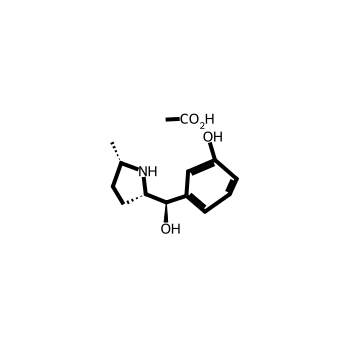 CC(=O)O.C[C@H]1CC[C@@H]([C@H](O)c2cccc(O)c2)N1